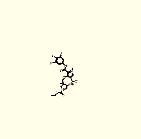 CCOC(=O)N1CC2N[S+]([O-])c3cn(C)c(C(=O)Nc4cc(F)c(F)c(F)c4)c3OCC2(C)C1